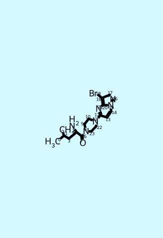 CC(C)CC(N)C(=O)N1CCN(c2ccn3ncc(Br)c3n2)CC1